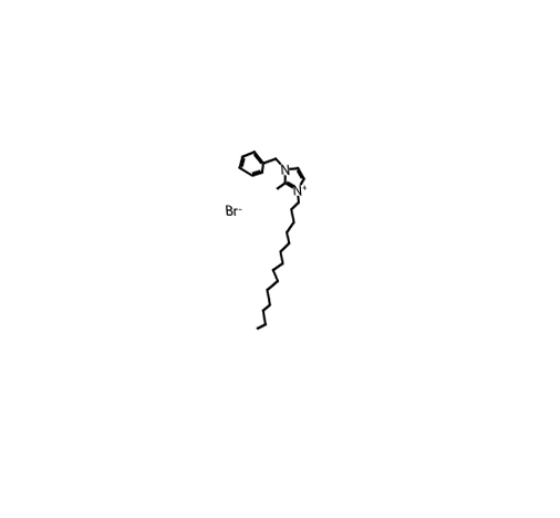 CCCCCCCCCCCCCC[n+]1ccn(Cc2ccccc2)c1C.[Br-]